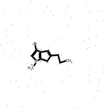 CCCC1=Cc2c(Br)cp(C)c2C1